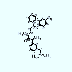 CC(C)Cc1cccc(C(C)C(=O)N(C)CC[C@H](Oc2ccc(CF)cc2)c2ccccc2)c1